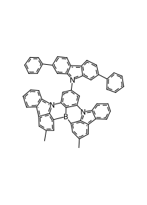 Cc1cc2c3c(c1)c1ccccc1n3-c1cc(-n3c4cc(-c5ccccc5)ccc4c4ccc(-c5ccccc5)cc43)cc3c1B2c1cc(C)cc2c4ccccc4n-3c12